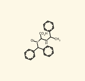 CC(NC(C(=O)O)[S+]([O-])C(c1ccccc1)c1ccccc1)c1ccccc1